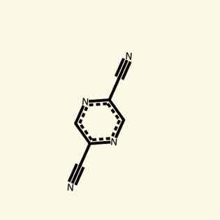 N#Cc1cnc(C#N)cn1